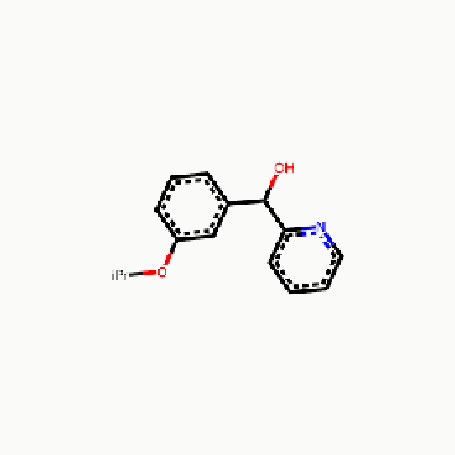 CC(C)Oc1cccc(C(O)c2ccccn2)c1